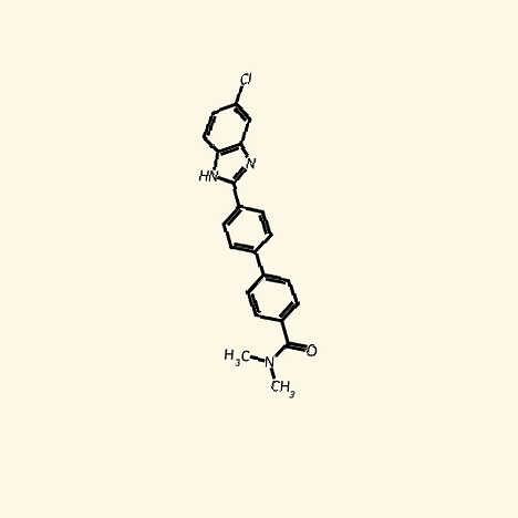 CN(C)C(=O)c1ccc(-c2ccc(-c3nc4cc(Cl)ccc4[nH]3)cc2)cc1